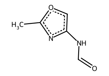 Cc1nc(NC=O)co1